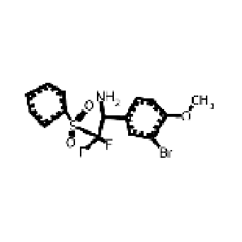 COc1ccc(C(N)C(F)(F)S(=O)(=O)c2ccccc2)cc1Br